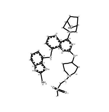 CS(=O)(=O)CCN1CCC(Oc2nc(N3CC4CCC(C3)N4)c3nccc(Oc4cccc5nc(N)oc45)c3n2)CC1